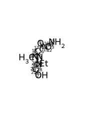 CCn1c(-c2nc3cc(C(=O)N4CCC[C@@H](N)C4)ccc3n2C)cc2ccc(O)cc21